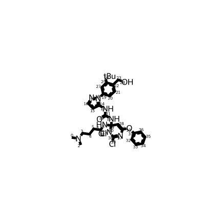 CN(C)CCCC(=O)NC1(NC(=O)Nc2ccnn2-c2ccc(CO)c(C(C)(C)C)c2)C=C(Oc2ccccc2)N=C(Cl)N1Cl